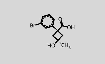 C[C@]1(O)C[C@@](C(=O)O)(c2cccc(Br)c2)C1